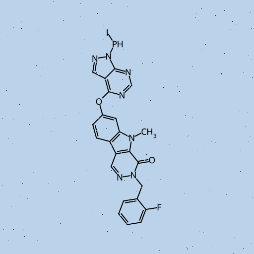 Cn1c2cc(Oc3ncnc4c3cnn4PI)ccc2c2cnn(Cc3ccccc3F)c(=O)c21